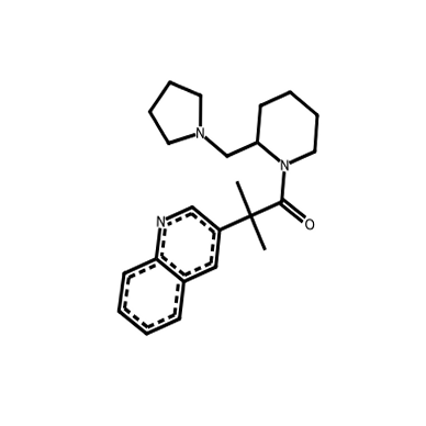 CC(C)(C(=O)N1CCCCC1CN1CCCC1)c1cnc2ccccc2c1